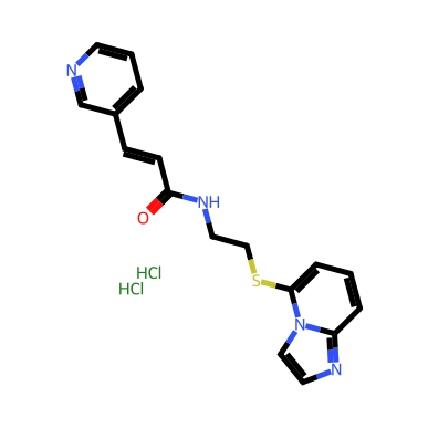 Cl.Cl.O=C(C=Cc1cccnc1)NCCSc1cccc2nccn12